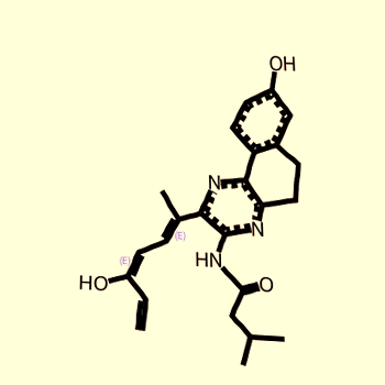 C=C/C(O)=C\C=C(/C)c1nc2c(nc1NC(=O)CC(C)C)CCc1cc(O)ccc1-2